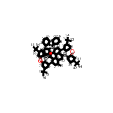 Cc1cc2c3c(cc4c([Si](c5ccccc5)(c5ccccc5)c5ccccc5)cc5c6c(cc1c3c46)B1c3ccc(C(C)(C)C)cc3Oc3cc(C(C)(C)C)cc-5c31)B1c3ccc(C(C)(C)C)cc3Oc3cc(C(C)(C)C)cc-2c31